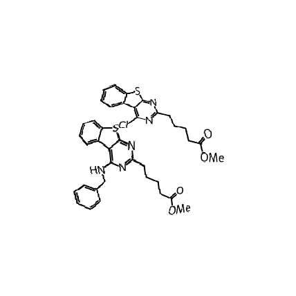 COC(=O)CCCCc1nc(Cl)c2c(n1)sc1ccccc12.COC(=O)CCCCc1nc(NCc2ccccc2)c2c(n1)sc1ccccc12